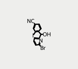 N#Cc1ccc(C(O)c2cccc(Br)n2)c(I)c1